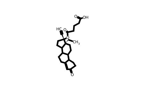 C#C[C@]1(OC(=O)CCCC(=O)O)CCC2C3CCC4=CC(=O)CCC4C3CC[C@@]21CC